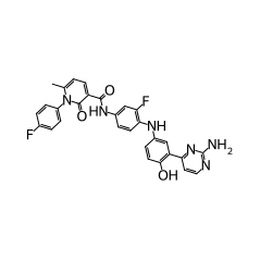 Cc1ccc(C(=O)Nc2ccc(Nc3ccc(O)c(-c4ccnc(N)n4)c3)c(F)c2)c(=O)n1-c1ccc(F)cc1